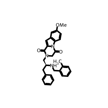 COc1ccc2c(c1)cc1n2C(=O)CN(C[C@H](Cc2ccccc2)NCc2ccccc2C)C1=O